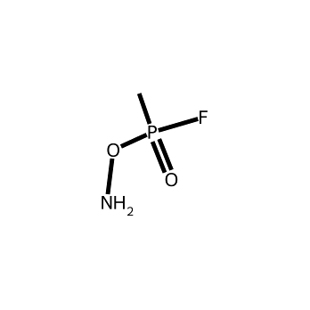 CP(=O)(F)ON